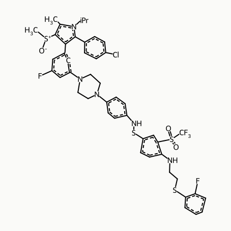 Cc1c([S+](C)[O-])c(-c2cc(F)cc(N3CCN(c4ccc(NSc5ccc(NCCSc6ccccc6F)c(S(=O)(=O)C(F)(F)F)c5)cc4)CC3)c2)c(-c2ccc(Cl)cc2)n1C(C)C